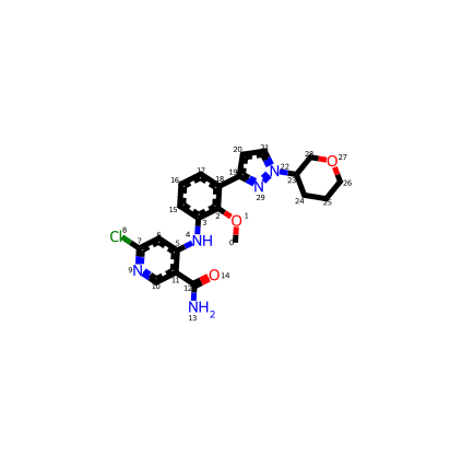 COc1c(Nc2cc(Cl)ncc2C(N)=O)cccc1-c1ccn(C2CCCOC2)n1